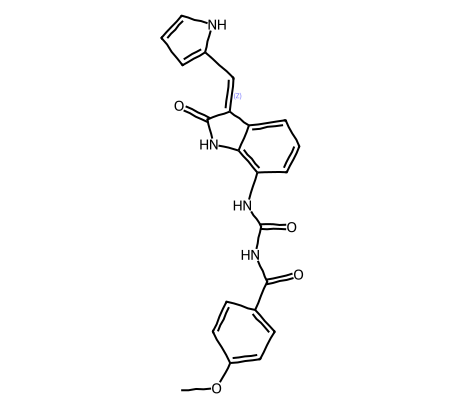 COc1ccc(C(=O)NC(=O)Nc2cccc3c2NC(=O)/C3=C\c2ccc[nH]2)cc1